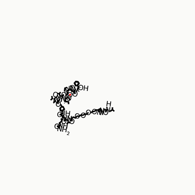 CC[C@H](C)[C@@H]([C@@H](CC(=O)N1CCC[C@H]1[C@H](OC)[C@@H](C)C(=O)N[C@H](C)[C@@H](O)c1ccccc1)OC)N(C)C(=O)[C@@H](NC(=O)[C@H](C(C)C)N(C)C(=O)OCc1ccc(NC(=O)[C@H](CCCNC(N)=O)NC(=O)[C@@H](NC(=O)CCOCCOCCOCCOCc2cn(CC(=O)NCC(C)C)nn2)C(C)C)cc1)C(C)C